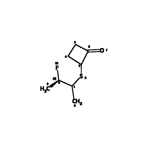 CC(SC1CCC1=O)[C@@H](C)F